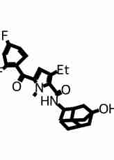 CCc1cc(C(=O)c2ccc(F)cc2F)n(C)c1C(=O)NC1C2CC3CC1CC(O)(C3)C2